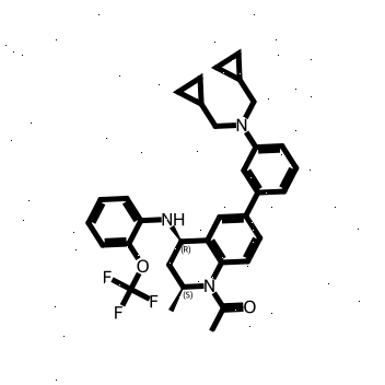 CC(=O)N1c2ccc(-c3cccc(N(CC4CC4)CC4CC4)c3)cc2[C@H](Nc2ccccc2OC(F)(F)F)C[C@@H]1C